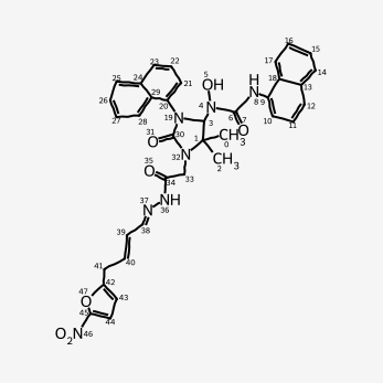 CC1(C)C(N(O)C(=O)Nc2cccc3ccccc23)N(c2cccc3ccccc23)C(=O)N1CC(=O)N/N=C/C=C/Cc1ccc([N+](=O)[O-])o1